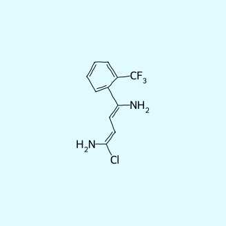 N/C(=C\C=C(/N)Cl)c1ccccc1C(F)(F)F